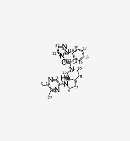 Cc1ncc(N2CCC3CCN(C(=O)c4ccccc4-n4nccn4)C[C@@H]32)nc1C